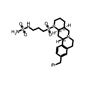 CC(C)Cc1ccc2c(c1)CCN1C[C@@H]3CCCN(S(=O)(=O)CCCNS(N)(=O)=O)[C@@H]3C[C@@H]21